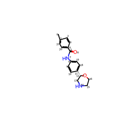 Cc1ccc(C(=O)Nc2ccc([C@H]3CNCCO3)cc2)cc1